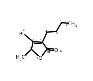 CCCCC1=C(Br)C(C)OC1=O